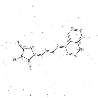 CCN1C(=O)C(=CC=CC=C2C=CNc3ccccc32)SC1=S